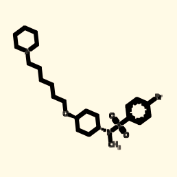 CN([C@H]1CC[C@H](OCCCCCCN2CCCCC2)CC1)S(=O)(=O)c1ccc(Br)cc1